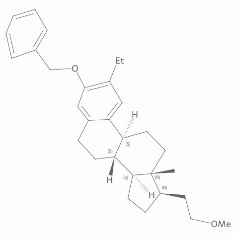 CCc1cc2c(cc1OCc1ccccc1)CC[C@@H]1[C@@H]2CC[C@]2(C)[C@@H](CCOC)CC[C@@H]12